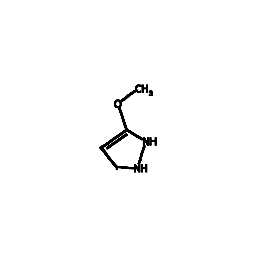 COC1=C[CH]NN1